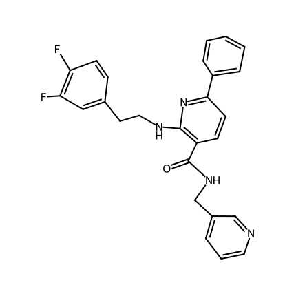 O=C(NCc1cccnc1)c1ccc(-c2ccccc2)nc1NCCc1ccc(F)c(F)c1